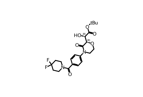 CC(C)(C)OC(=O)[C@H](O)[C@H]1OCCN(c2ccc(C(=O)N3CCC(F)(F)CC3)cc2)C1=O